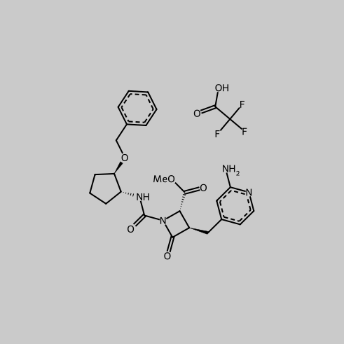 COC(=O)[C@@H]1[C@@H](Cc2ccnc(N)c2)C(=O)N1C(=O)N[C@@H]1CCC[C@H]1OCc1ccccc1.O=C(O)C(F)(F)F